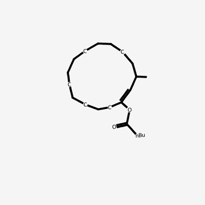 CCCCC(=O)OC1=CC(C)CCCCCCCCCCCC1